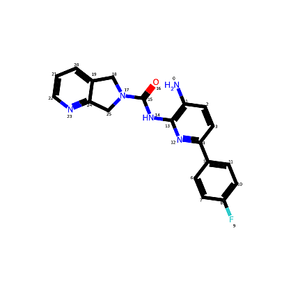 Nc1ccc(-c2ccc(F)cc2)nc1NC(=O)N1Cc2cccnc2C1